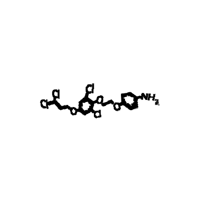 Nc1ccc(OCCOc2c(Cl)cc(OCC=C(Cl)Cl)cc2Cl)cc1